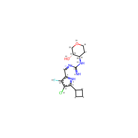 N=C(/N=C\c1[nH]c(C2CCC2)c(Cl)c1F)N[C@@H]1CCOC[C@H]1O